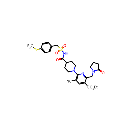 CCOC(=O)c1cc(C#N)c(N2CCC(C(=O)NS(=O)(=O)Cc3ccc(SC(F)(F)F)cc3)CC2)nc1CN1CCCC1=O